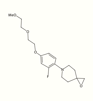 COCCOCCOc1ccc(N2CCC3(CC2)CO3)c(F)c1